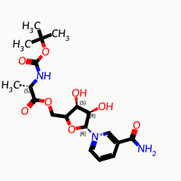 C[C@H](NC(=O)OC(C)(C)C)C(=O)OCC1O[C@@H]([n+]2cccc(C(N)=O)c2)[C@H](O)[C@@H]1O